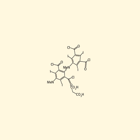 CNc1c(I)c(C(=O)Cl)c(I)c(C(=O)Cl)c1I.CNc1c(I)c(C(=O)Cl)c(I)c(C(=O)Cl)c1I.O=C(O)CC(=O)O